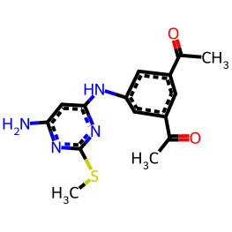 CSc1nc(N)cc(Nc2cc(C(C)=O)cc(C(C)=O)c2)n1